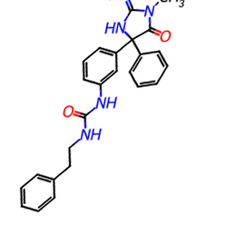 CN1C(=N)NC(c2ccccc2)(c2cccc(NC(=O)NCCc3ccccc3)c2)C1=O